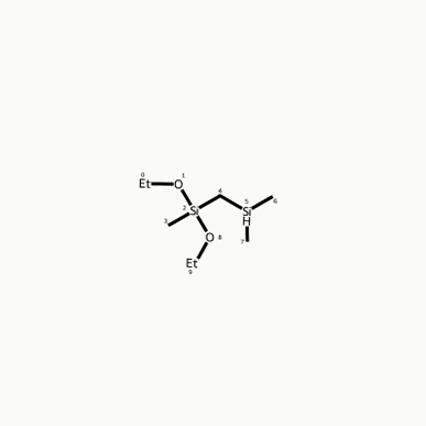 CCO[Si](C)(C[SiH](C)C)OCC